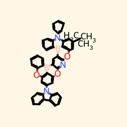 CC(C)(C)c1cc2c3c(c1)N(c1ccccc1)c1ccccc1B3c1cc3c(nc1O2)Oc1cc(-n2c4ccccc4c4ccccc42)cc2c1B3c1ccccc1O2